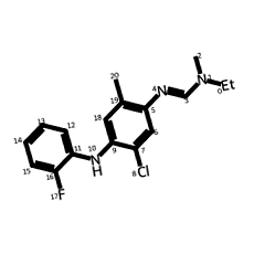 CCN(C)C=Nc1cc(Cl)c(Nc2ccccc2F)cc1C